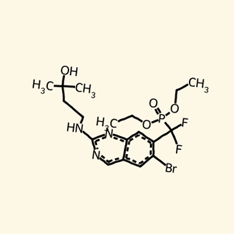 CCOP(=O)(OCC)C(F)(F)c1cc2nc(NCCC(C)(C)O)ncc2cc1Br